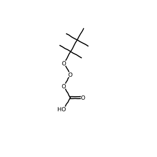 CC(C)(C)C(C)(C)OOOC(=O)O